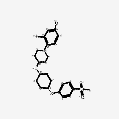 CS(=O)(=O)c1ccc(O[C@H]2CC[C@H](OC3CCN(c4ccc(Cl)cc4F)CC3)CC2)cc1